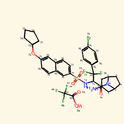 NC1CC2CCC(C1)N2C(=O)C(NS(=O)(=O)c1ccc2cc(OC3CCCC3)ccc2c1)C(F)(F)c1ccc(Br)cc1.O=C(O)C(F)(F)F